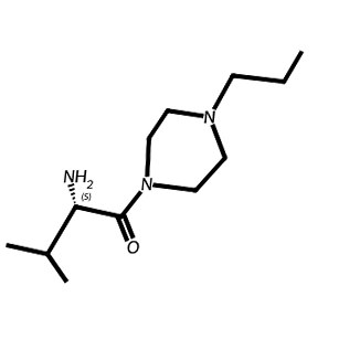 CCCN1CCN(C(=O)[C@@H](N)C(C)C)CC1